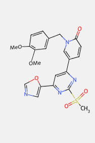 COc1ccc(Cn2cc(-c3cc(-c4cnco4)nc(S(C)(=O)=O)n3)ccc2=O)cc1OC